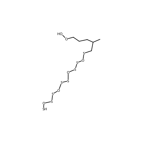 CC(CCCOO)CSOSSOSSOSSOS